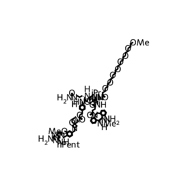 CCCCCNc1nc(N)nc2ccn(Cc3ccc(CN4CC5(C4)CN(C(=O)OCc4ccc(NC(=O)[C@H](CCCNC(N)=O)NC(=O)[C@@H](NC(=O)[C@H](CNC(=O)CCOCCOCCOCCOCCOCCOCCOCCOC)NC(=O)CCC(=O)N6Cc7ccccc7/C(NN)=C(/NC)c7ccccc76)C(C)C)cc4)CCO5)cc3OC)c12